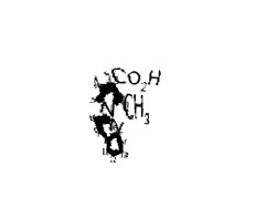 Cc1c(C(=O)O)ccn1-c1ccc2ccccc2n1